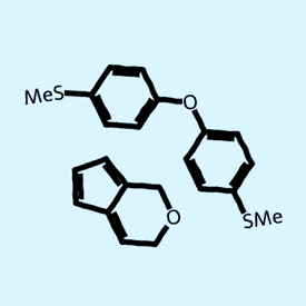 C1=CC2=CCOCC2=C1.CSc1ccc(Oc2ccc(SC)cc2)cc1